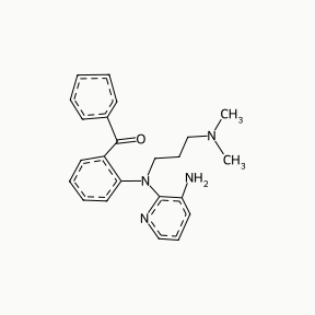 CN(C)CCCN(c1ccccc1C(=O)c1ccccc1)c1ncccc1N